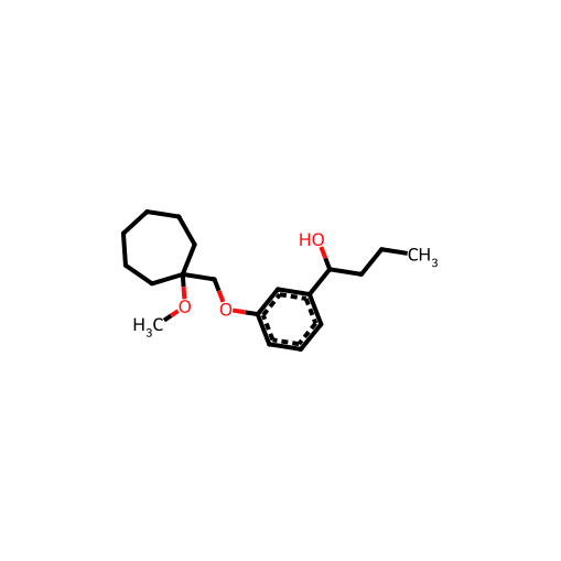 CCCC(O)c1cccc(OCC2(OC)CCCCCC2)c1